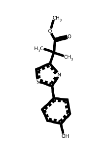 COC(=O)C(C)(C)c1csc(-c2ccc(O)cc2)n1